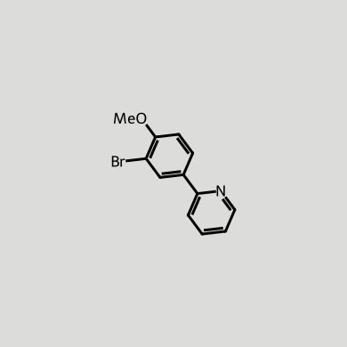 COc1ccc(-c2ccccn2)cc1Br